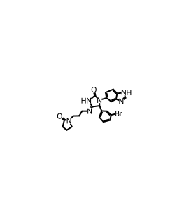 O=C1CCCN1CCCN=C1NC(=O)N(c2ccc3[nH]cnc3c2)C1c1cccc(Br)c1